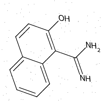 N=C(N)c1c(O)ccc2ccccc12